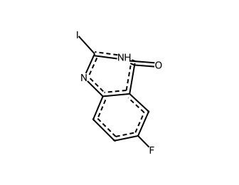 O=c1[nH]c(I)nc2ccc(F)cc12